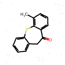 Cc1cccc2c1Sc1ccccc1CC2=O